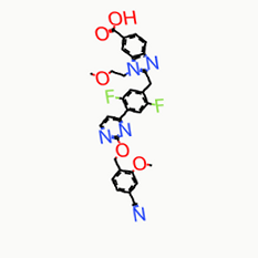 COCCn1c(Cc2cc(F)c(-c3ccnc(OCc4ccc(C#N)cc4OC)n3)cc2F)nc2ccc(C(=O)O)cc21